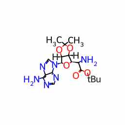 CC(C)(C)OC(=O)C(N)[C@H]1O[C@@H](n2cnc3c(N)ncnc32)[C@@H]2OC(C)(C)O[C@@H]21